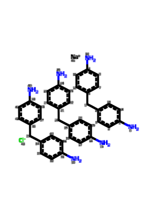 Nc1ccc(Cc2ccc(N)cc2)cc1.Nc1ccc(Cc2ccc(N)cc2)cc1.Nc1ccc(Cc2ccc(N)cc2)cc1.[Cl-].[Na+]